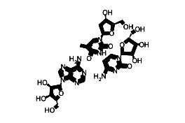 Cc1cn([C@H]2C[C@H](O)[C@@H](CO)O2)c(=O)[nH]c1=O.Nc1ccn([C@@H]2O[C@H](CO)[C@@H](O)[C@H]2O)c(=O)n1.Nc1ncnc2c1ncn2[C@@H]1O[C@H](CO)[C@@H](O)[C@H]1O